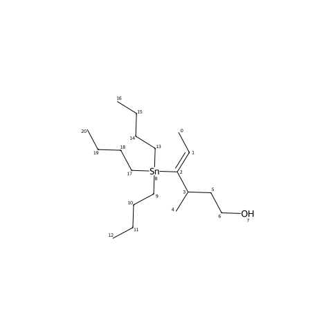 C/C=[C](/C(C)CCO)[Sn]([CH2]CCC)([CH2]CCC)[CH2]CCC